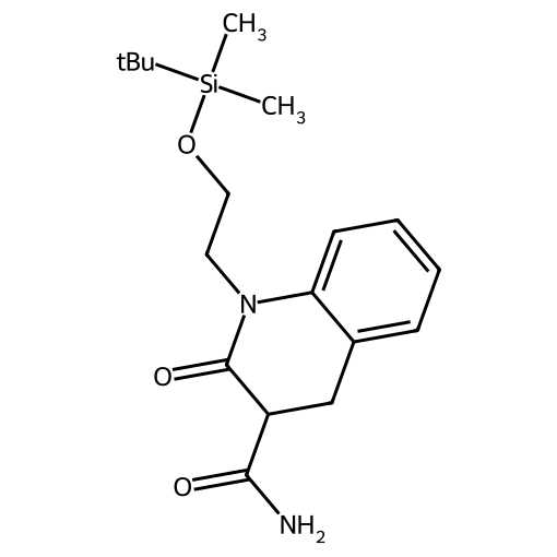 CC(C)(C)[Si](C)(C)OCCN1C(=O)C(C(N)=O)Cc2ccccc21